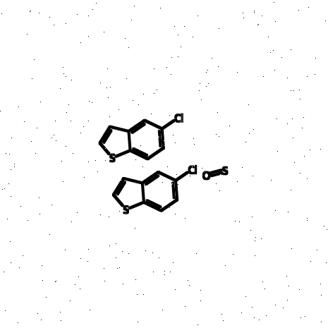 Clc1ccc2sccc2c1.Clc1ccc2sccc2c1.O=S